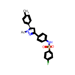 CC(=O)N1N=C(c2ccc(NS(=O)(=O)c3ccc(F)cc3)cc2)C[C@@H]1c1ccc(C)cc1